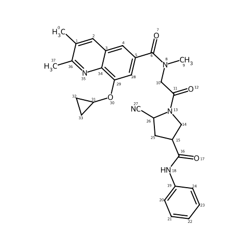 Cc1cc2cc(C(=O)N(C)CC(=O)N3CC(C(=O)Nc4ccccc4)CC3C#N)cc(OC3CC3)c2nc1C